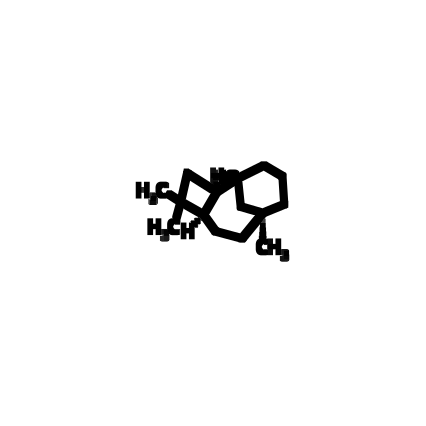 CC1(C)C[C@H]2[C@H]1CC[C@]1(C)CCC[C@]2(O)C1